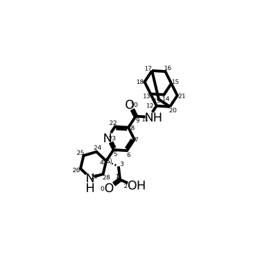 O=C(O)C[C@@]1(c2ccc(C(=O)NC3C4CC5CC(C4)CC3C5)cn2)CCCNC1